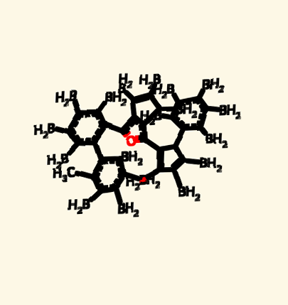 BC1=C(B)C(c2c(B)c(B)c(B)c(B)c2B)C(c2oc(-c3c(B)c(B)c(B)c(B)c3-c3c(B)c(B)c(B)c(B)c3C)c3c2C(B)C(B)=C3B)=C1B